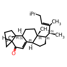 CC(=CCC(C)C)[C@@H](C)[C@H]1CC[C@H]2C3=CC(=O)C45CC4CC[C@]5(C)[C@H]3CC[C@]12C